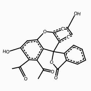 CC(=O)c1c(O)cc2c(c1C(C)=O)C1(OC(=O)c3ccccc31)c1ccc(O)cc1O2